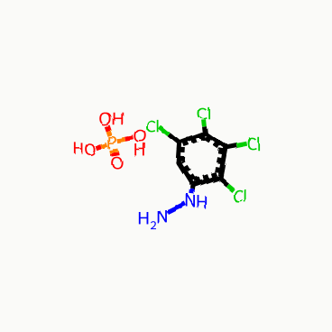 NNc1cc(Cl)c(Cl)c(Cl)c1Cl.O=P(O)(O)O